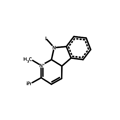 CC(C)C1=[N+](C)C2C(C=C1)c1ccccc1N2I